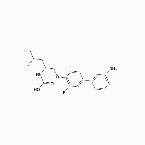 CC(C)CC(COc1ccc(-c2ccnc(N)c2)cc1F)NC(=O)O